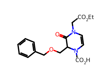 CCOC(=O)CN1C=CN(C(=O)O)C(COCc2ccccc2)C1=O